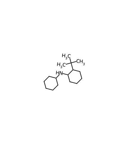 CC(C)(C)C1CCCCC1NC1CCCCC1